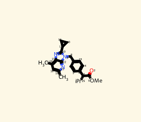 COC(=O)C(c1ccc(Cn2c(C3CC3)nc3c(C)cc(C)nc32)cc1)C(C)C